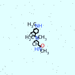 C=CC1=C(C(=C)N(C)C(C=C)CCC(=O)NC)CCC(NC)=C1